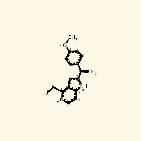 C=C(c1ccc(OC)cc1)c1cc2c(CI)nccc2[nH]1